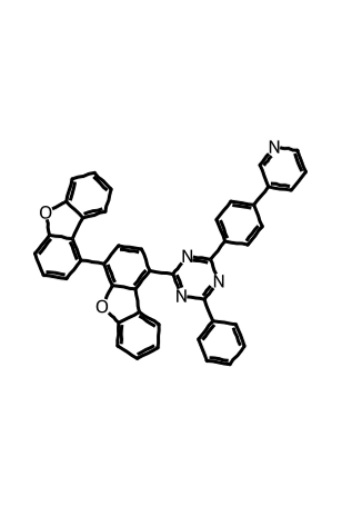 c1ccc(-c2nc(-c3ccc(-c4cccnc4)cc3)nc(-c3ccc(-c4cccc5oc6ccccc6c45)c4oc5ccccc5c34)n2)cc1